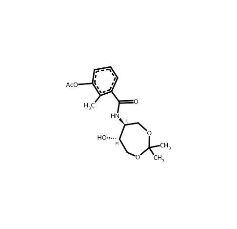 CC(=O)Oc1cccc(C(=O)N[C@H]2COC(C)(C)OC[C@@H]2O)c1C